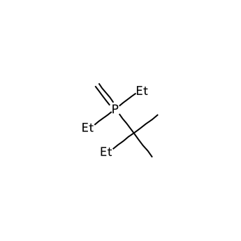 C=P(CC)(CC)C(C)(C)CC